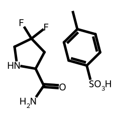 Cc1ccc(S(=O)(=O)O)cc1.NC(=O)C1CC(F)(F)CN1